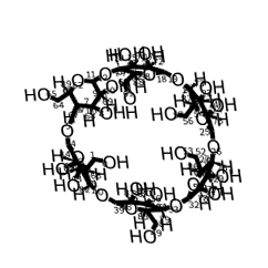 OC[C@H]1OC2O[C@@H]3[C@H](O)[C@@H](O)C(O[C@H]4[C@H](O)[C@H](O)C(O[C@@H]5[C@H](O)[C@H](O)C(O[C@@H]6[C@H](O)[C@@H](O)C(O[C@H]7[C@H](O)[C@H](O)C(O[C@@H]1[C@H](O)[C@@H]2O)O[C@@H]7CO)O[C@@H]6CO)O[C@@H]5CO)O[C@@H]4CO)O[C@@H]3CO